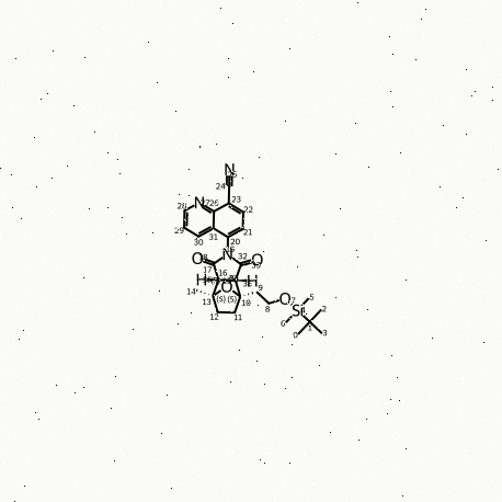 CC(C)(C)[Si](C)(C)OCC[C@]12CC[C@](C)(O1)[C@@H]1C(=O)N(c3ccc(C#N)c4ncccc34)C(=O)[C@@H]12